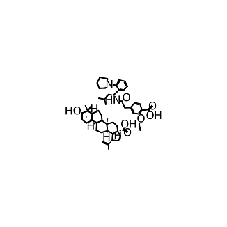 C=C(C)[C@@H]1CC[C@]2(C(=O)O)CC[C@]3(C)[C@H](CC[C@@H]4[C@@]5(C)CC[C@H](O)C(C)(C)[C@@H]5CC[C@]43C)[C@@H]12.CCOc1cc(CC(=O)N[C@@H](CC(C)C)c2ccccc2N2CCCCC2)ccc1C(=O)O